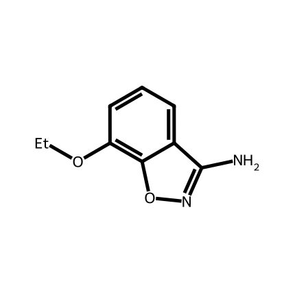 CCOc1cccc2c(N)noc12